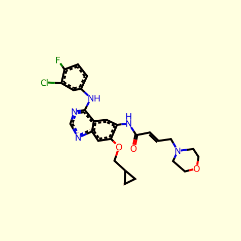 O=C(/C=C/CN1CCOCC1)Nc1cc2c(Nc3ccc(F)c(Cl)c3)ncnc2cc1OCC1CC1